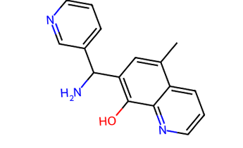 Cc1cc(C(N)c2cccnc2)c(O)c2ncccc12